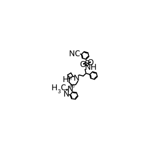 Cc1nc2ccccc2n1[C@H]1CCN(CCC(CNS(=O)(=O)c2cccc(C#N)c2)c2ccccc2)C2CC[C@H]2C1